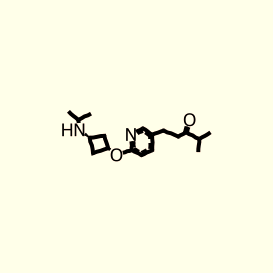 CC(C)N[C@H]1C[C@@H](Oc2ccc(CCC(=O)C(C)C)cn2)C1